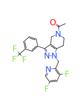 CC(=O)N1CCc2c(c(-c3cccc(C(F)(F)F)c3)nn2Cc2ncc(F)cc2F)C1